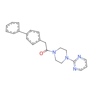 O=C(Cc1ccc(-c2ccccc2)cc1)N1CCN(c2ncccn2)CC1